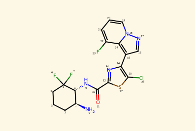 N[C@H]1CCCC(F)(F)[C@@H]1NC(=O)c1nc(-c2cnn3cccc(F)c23)c(Cl)s1